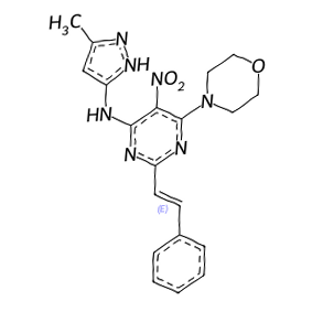 Cc1cc(Nc2nc(/C=C/c3ccccc3)nc(N3CCOCC3)c2[N+](=O)[O-])[nH]n1